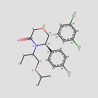 CCC(CSC(C)C)N1C(=O)CO[C@H](c2cc(Cl)cc(Cl)c2)[C@H]1c1ccc(Cl)cc1